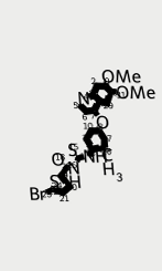 COc1cc2nccc(Oc3ccc(NC(=S)NC(=O)c4ccc(Br)s4)c(C)c3)c2cc1OC